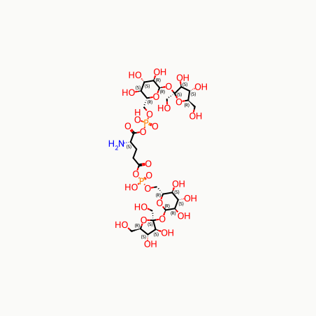 N[C@@H](CCC(=O)OP(=O)(O)OC[C@H]1O[C@H](O[C@]2(CO)O[C@H](CO)[C@@H](O)[C@@H]2O)[C@H](O)[C@@H](O)[C@@H]1O)C(=O)OP(=O)(O)OC[C@H]1O[C@H](O[C@]2(CO)O[C@H](CO)[C@@H](O)[C@@H]2O)[C@H](O)[C@@H](O)[C@@H]1O